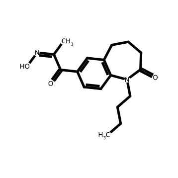 CCCCN1C(=O)CCCc2cc(C(=O)/C(C)=N\O)ccc21